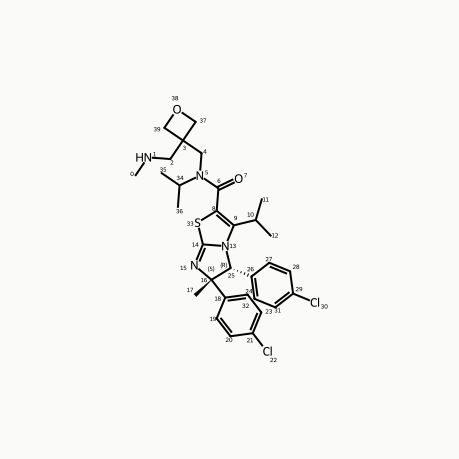 CNCC1(CN(C(=O)C2=C(C(C)C)N3C(=N[C@@](C)(c4ccc(Cl)cc4)[C@H]3c3ccc(Cl)cc3)S2)C(C)C)COC1